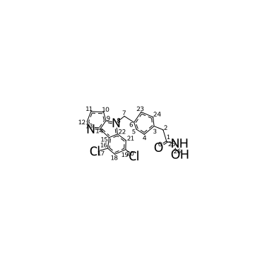 O=C(Cc1ccc(Cn2c3cccnc3c3c(Cl)cc(Cl)cc32)cc1)NO